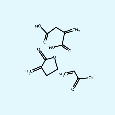 C=C(CC(=O)O)C(=O)O.C=C1CCOC1=O.C=CC(=O)O